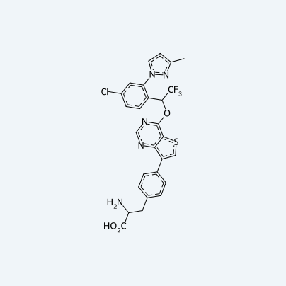 Cc1ccn(-c2cc(Cl)ccc2C(Oc2ncnc3c(-c4ccc(CC(N)C(=O)O)cc4)csc23)C(F)(F)F)n1